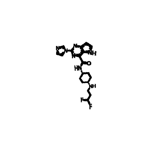 O=C(N[C@H]1CC[C@@H](NCCC(F)F)CC1)c1nc(-n2ccnc2)nc2cc[nH]c12